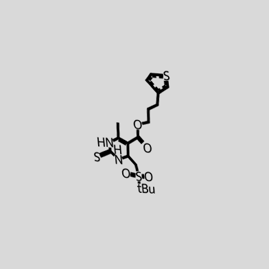 CC1=C(C(=O)OCCCc2ccsc2)C(CS(=O)(=O)C(C)(C)C)NC(=S)N1